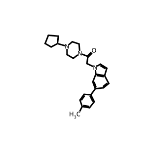 Cc1ccc(-c2ccc3ccn(CC(=O)N4CCN(C5CCCC5)CC4)c3c2)cc1